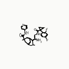 CC1CC2CC(CC(C)(C(=O)Nc3ccncc3)C2)C1C(N)CNC(=O)C1(c2ccc(F)cc2F)CC1